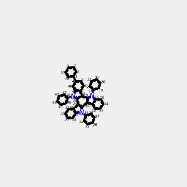 c1ccc(-c2ccc3c4c5c(c6ccccc6n5-c5ccccc5)c5c(c6ccccc6n5-c5ccccc5)c4n(-c4ccccc4)c3c2)cc1